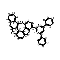 c1ccc(-c2cc(-c3ccccc3)nc(-c3ccc4oc5c6ccccc6cc6oc7ccc8oc3c4c8c7c65)n2)cc1